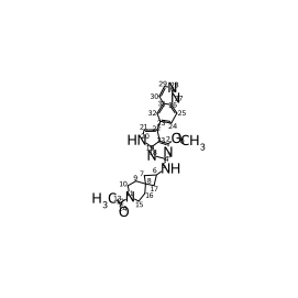 COc1nc(NC2CC3(CCN(C(C)=O)CC3)C2)nc2[nH]cc(-c3ccc4nnccc4c3)c12